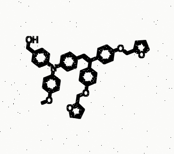 COc1ccc(N(c2ccc(C=C(c3ccc(OCc4ccco4)cc3)c3ccc(OCc4ccco4)cc3)cc2)c2ccc(CO)cc2)cc1